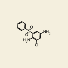 Nc1cc(Cl)c(N)c(S(=O)(=O)c2ccccc2)c1